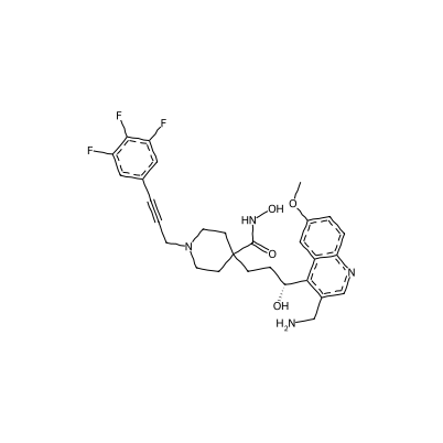 COc1ccc2ncc(CN)c([C@H](O)CCC3(C(=O)NO)CCN(CC#Cc4cc(F)c(F)c(F)c4)CC3)c2c1